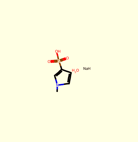 Cn1ccc(S(=O)(=O)O)c1.O.[NaH]